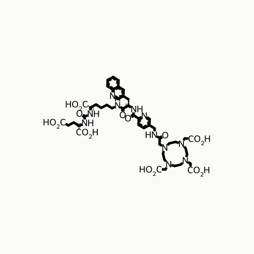 O=C(O)CC[C@H](NC(=O)N[C@@H](CCCCNC(=O)[C@@H](Cc1cnc2ccccc2c1)NC(=O)c1ccc(CNC(=O)CN2CCN(CC(=O)O)CCN(CC(=O)O)CCN(CC(=O)O)CC2)cn1)C(=O)O)C(=O)O